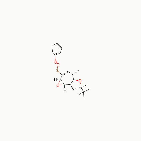 C[C@H]1[C@@H]2O[C@@H]2C(SOOc2ccccc2)=C[C@H](C)[C@H]1O[Si](C)(C)C(C)(C)C